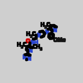 COc1ccc(N(Cc2cnccc2C)C2CCN([C@H](C)CCNC(=O)c3c(C)cc(-c4cncnc4)nc3C)CC2)cc1